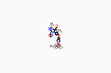 Cc1c(C=O)sc2c1C(c1ccc(OC3CC4(CCN(C(=O)OC(C)(C)C)CC4)C3)cc1)=N[C@@H](Cc1ncco1)c1nnc(C)n1-2